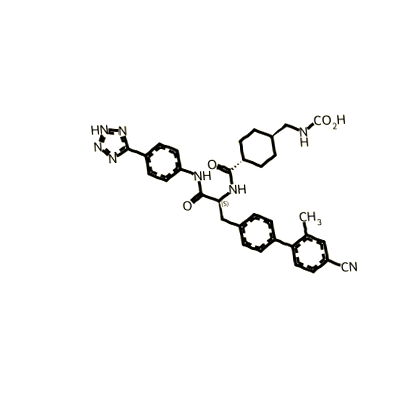 Cc1cc(C#N)ccc1-c1ccc(C[C@H](NC(=O)[C@H]2CC[C@H](CNC(=O)O)CC2)C(=O)Nc2ccc(-c3nn[nH]n3)cc2)cc1